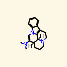 CN(C)C1=Cn2c3c(c4ccccc42)CCN2CCC[C@H]1[C@H]32